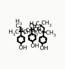 CC(C)(C)CC(C)(C)c1ccc(O)cc1.CC(C)(C)c1ccc(O)cc1.CCC(C)(C)c1ccc(O)cc1